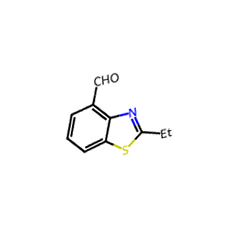 CCc1nc2c(C=O)cccc2s1